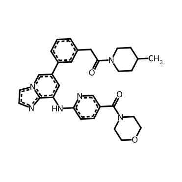 CC1CCN(C(=O)Cc2cccc(-c3cc(Nc4ccc(C(=O)N5CCOCC5)cn4)c4nccn4c3)c2)CC1